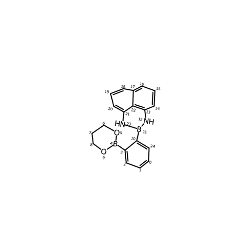 c1ccc(B2OCCCO2)c(B2Nc3cccc4cccc(c34)N2)c1